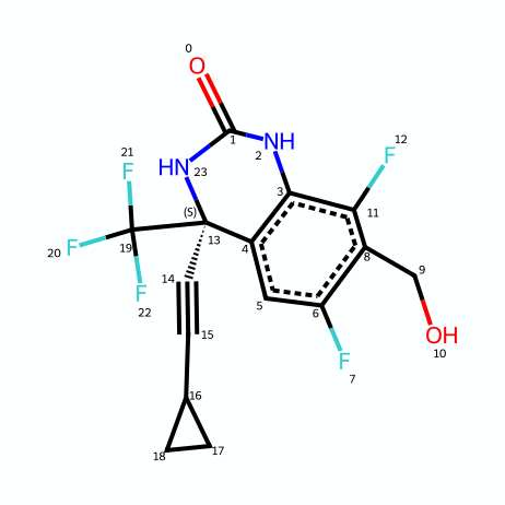 O=C1Nc2c(cc(F)c(CO)c2F)[C@@](C#CC2CC2)(C(F)(F)F)N1